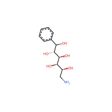 NC[C@H](O)[C@@H](O)[C@H](O)[C@H](O)C(O)c1ccccc1